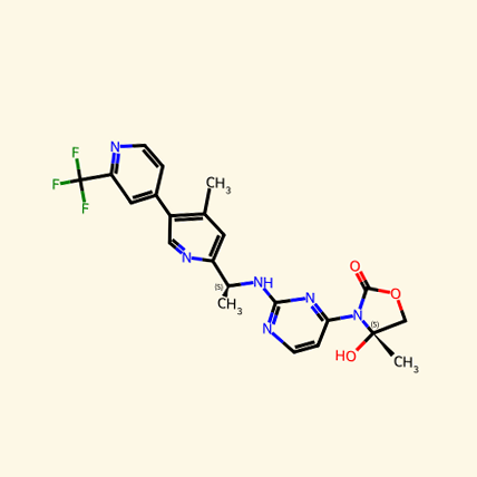 Cc1cc([C@H](C)Nc2nccc(N3C(=O)OC[C@]3(C)O)n2)ncc1-c1ccnc(C(F)(F)F)c1